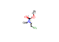 CC(C)OC(=O)N(CCCl)N=O